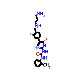 Cc1ccccc1NC(=O)Nc1nc(=O)c(-c2ccc(CNCCCN)c(F)c2)c[nH]1